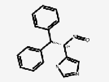 O=[S+][C@H](c1cncs1)C(c1ccccc1)c1ccccc1